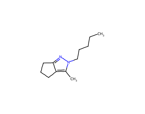 CCCCCn1nc2c(c1C)CCC2